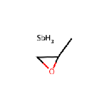 CC1CO1.[SbH3]